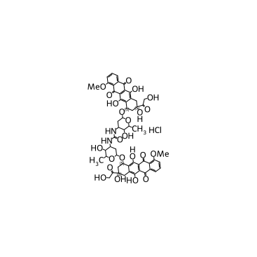 COc1cccc2c1C(=O)c1c(O)c3c(c(O)c1C2=O)C[C@@](O)(C(=O)CO)C[C@@H]3OC1CC(NC(=O)NC2CC(O[C@H]3C[C@](O)(C(=O)CO)Cc4c(O)c5c(c(O)c43)C(=O)c3c(OC)cccc3C5=O)OC(C)C2O)C(O)C(C)O1.Cl